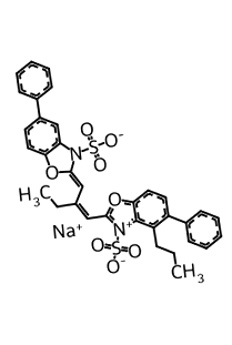 CCCc1c(-c2ccccc2)ccc2oc(C=C(C=C3Oc4ccc(-c5ccccc5)cc4N3S(=O)(=O)[O-])CC)[n+](S(=O)(=O)[O-])c12.[Na+]